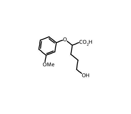 COc1cccc(OC(CCCO)C(=O)O)c1